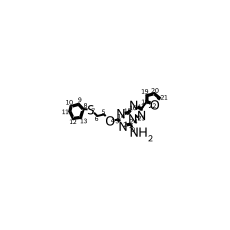 Nc1nc(OCCSc2ccccc2)nc2nc(-c3ccco3)nn12